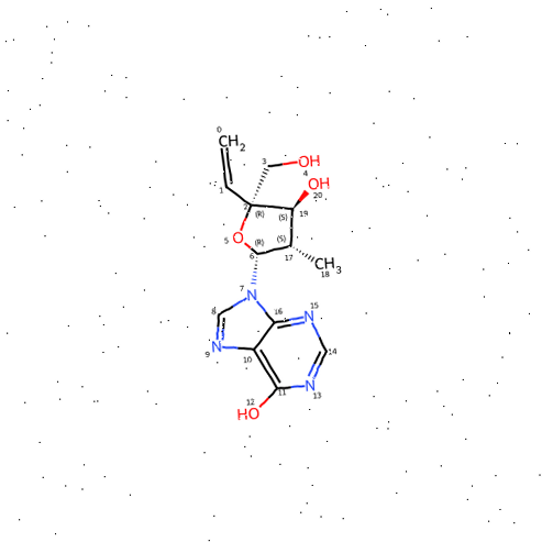 C=C[C@]1(CO)O[C@@H](n2cnc3c(O)ncnc32)[C@@H](C)[C@@H]1O